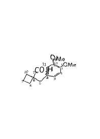 COc1ccc(CC2(C(=O)O)CCC2)cc1OC